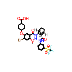 COc1cc(Br)c(OC2CCC(C(=O)O)CC2)cc1C(=O)N[C@@H]1[C@H]2CC[C@H](C2)[C@@H]1C(=O)Nc1cccc(S(=O)(=O)C(F)(F)F)c1